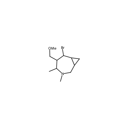 COCC1C(Br)C2CC2CN(C)C1C